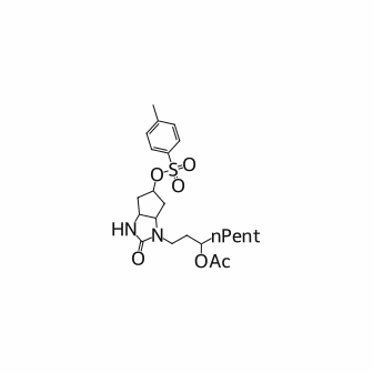 CCCCCC(CCN1C(=O)NC2CC(OS(=O)(=O)c3ccc(C)cc3)CC21)OC(C)=O